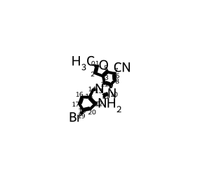 Cc1cc2c(o1)c(C#N)cc1nc(N)n(Cc3ccc(Br)cc3)c12